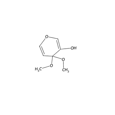 COC1(OC)C=COC=C1O